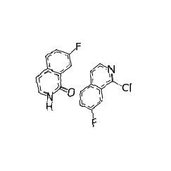 Fc1ccc2ccnc(Cl)c2c1.O=c1[nH]ccc2ccc(F)cc12